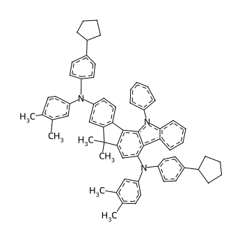 Cc1ccc(N(c2ccc(C3CCCC3)cc2)c2ccc3c(c2)C(C)(C)c2cc(N(c4ccc(C5CCCC5)cc4)c4ccc(C)c(C)c4)c4c5ccccc5n(-c5ccccc5)c4c2-3)cc1C